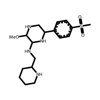 COC1NCC(c2ccc(S(C)(=O)=O)cc2)NC1NCC1CCCCN1